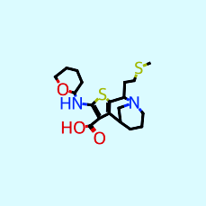 CSCCC1c2sc(NC3CCCCO3)c(C(=O)O)c2C2CCCN1C2